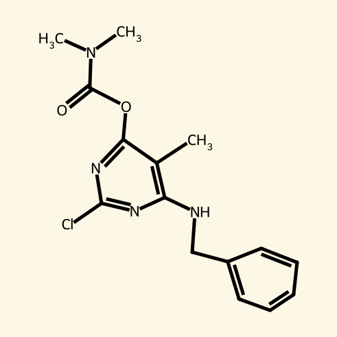 Cc1c(NCc2ccccc2)nc(Cl)nc1OC(=O)N(C)C